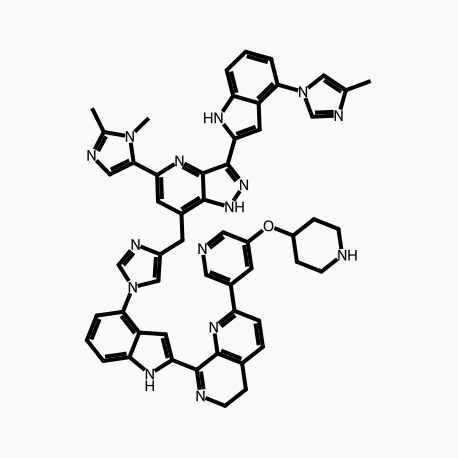 Cc1cn(-c2cccc3[nH]c(-c4n[nH]c5c(Cc6cn(-c7cccc8[nH]c(C9=NCCc%10ccc(-c%11cncc(OC%12CCNCC%12)c%11)nc%109)cc78)cn6)cc(-c6cnc(C)n6C)nc45)cc23)cn1